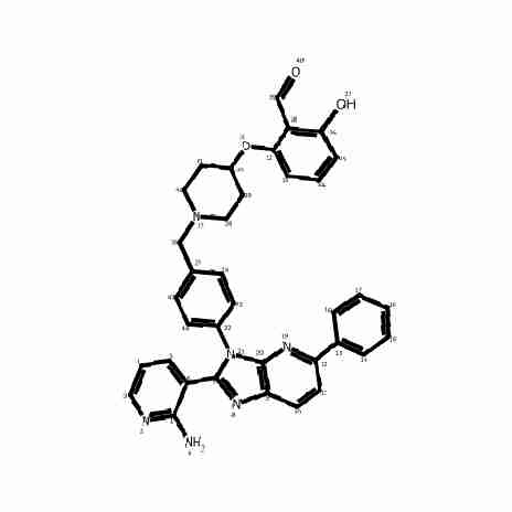 Nc1ncccc1-c1nc2ccc(-c3ccccc3)nc2n1-c1ccc(CN2CCC(Oc3cccc(O)c3C=O)CC2)cc1